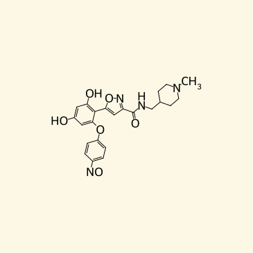 CN1CCC(CNC(=O)c2cc(-c3c(O)cc(O)cc3Oc3ccc(N=O)cc3)on2)CC1